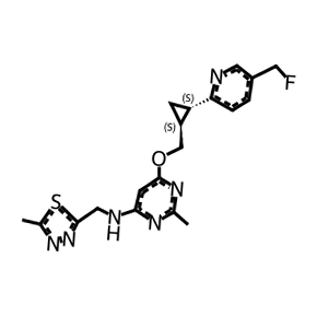 Cc1nc(NCc2nnc(C)s2)cc(OC[C@H]2C[C@@H]2c2ccc(CF)cn2)n1